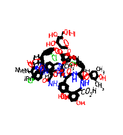 CN[C@H](CC(C)C)C(=O)N[C@H]1C(=O)N[C@@H](CC(N)=O)C(=O)N[C@H]2C(=O)N[C@H]3C(=O)NC(C(=O)N[C@@H](C(=O)O)c4cc(O)cc(O)c4-c4cc3ccc4O)[C@H](O[C@H]3CC(C)[C@@H](O)[C@H](C)C3)c3ccc(c(Cl)c3)Oc3cc2cc(c3O[C@@H]2O[C@H](CO)[C@@H](O)[C@H](O)[C@H]2O[C@H]2C[C@](C)(NCc3ccc(-c4ccc(Cl)cc4)cc3)[C@@H](O)[C@H](C)O2)Oc2ccc(cc2Cl)[C@H]1O